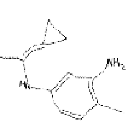 CC(Nc1ccc(C)c(N)c1)=C1CC1